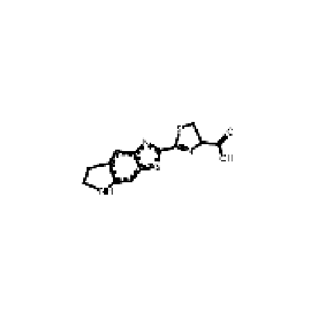 O=C(O)C1CSC(c2nc3cc4c(cc3s2)NCC4)=N1